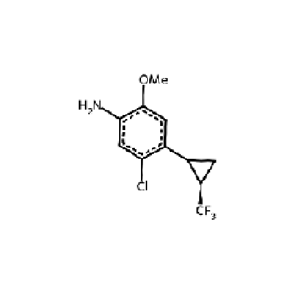 COc1cc(C2C[C@H]2C(F)(F)F)c(Cl)cc1N